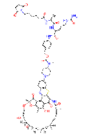 C/C1=C/C=C/[C@H](C)C[C@@H](C)C[C@@H](C)[C@H](O)[C@H](C)[C@@H](O)/C=C/O[C@@]2(C)Oc3c(C)c(O)c4c(=O)c(c5sc6cc(N7CCC(N(C)C(=O)OCc8ccc(NC(=O)[C@H](CCCNC(N)=O)NC(=O)[C@@H](NC(=O)CCCCCN9C(=O)C=CC9=O)C(C)C)cc8)CC7)ccc6nc-5c4c3C2=O)NC1=O